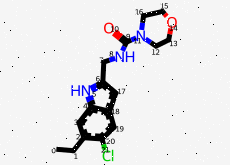 CCc1cc2[nH]c(CNC(=O)N3CCOCC3)cc2cc1Cl